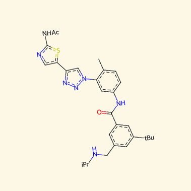 CC(=O)Nc1ncc(-c2cn(-c3cc(NC(=O)c4cc(CNC(C)C)cc(C(C)(C)C)c4)ccc3C)nn2)s1